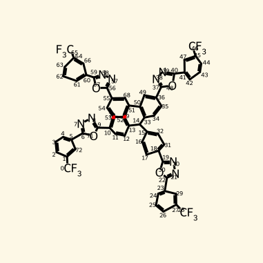 FC(F)(F)c1cccc(-c2nnc(-c3ccc(C(c4ccc(-c5nnc(-c6cccc(C(F)(F)F)c6)o5)cc4)c4ccc(-c5nnc(-c6cccc(C(F)(F)F)c6)o5)cc4-c4cccc(-c5nnc(-c6cccc(C(F)(F)F)c6)o5)c4)cc3)o2)c1